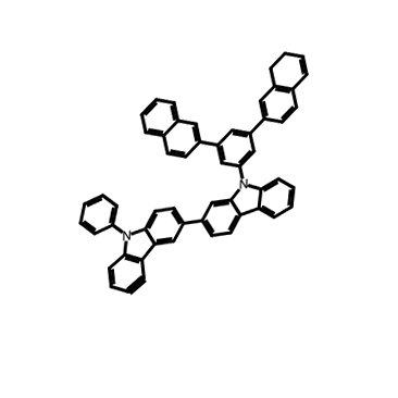 c1ccc2c(c#1)c1cc(-c3ccc4c5ccccc5n(-c5cc(-c6ccc7c(c6)CCC=C7)cc(-c6ccc7ccccc7c6)c5)c4c3)ccc1n2-c1ccccc1